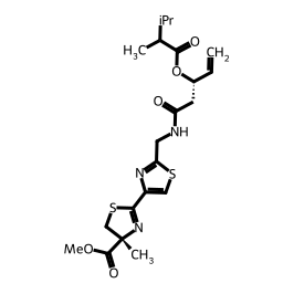 C=C[C@H](CC(=O)NCc1nc(C2=N[C@](C)(C(=O)OC)CS2)cs1)OC(=O)C(C)C(C)C